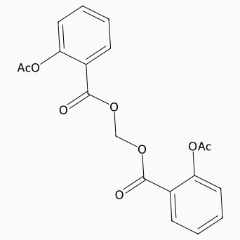 CC(=O)Oc1ccccc1C(=O)OCOC(=O)c1ccccc1OC(C)=O